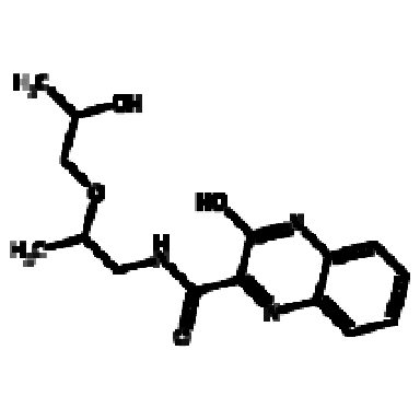 CC(O)COC(C)CNC(=O)c1nc2ccccc2nc1O